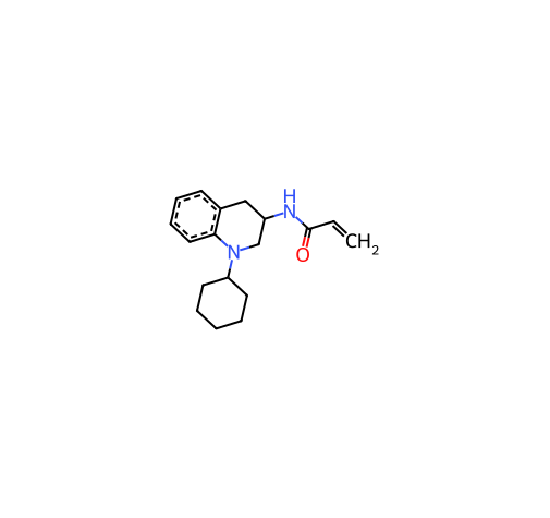 C=CC(=O)NC1Cc2ccccc2N(C2CCCCC2)C1